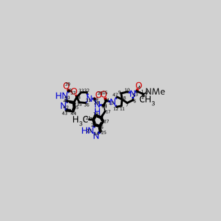 CN[C@@H](C)C(=O)N1CCC2(CC1)CCN(C(=O)[C@@H](Cc1cc(C)c3[nH]ncc3c1)NC(=O)N1CCC3(CC1)OC(=O)Nc1ncccc13)C2